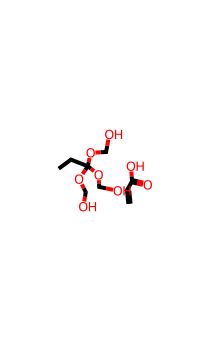 C=CC(=O)O.CCC(OCO)(OCO)OCO